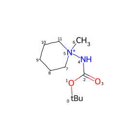 CC(C)(C)OC(=O)N[N+]1(C)CCCCC1